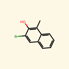 Cc1c(O)c(Br)cc2ccccc12